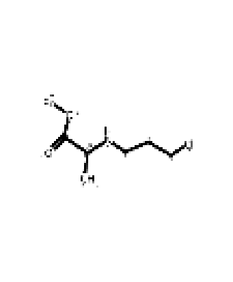 CC(C)OC(=O)[C@H](C)NCCCCl